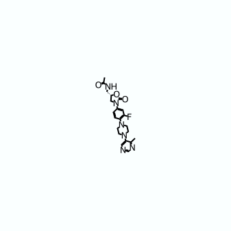 CC(=O)NC[C@H]1CN(c2ccc(N3CCN(c4cncnc4C)CC3)c(F)c2)C(=O)O1